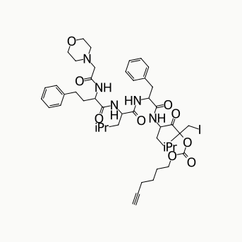 C#CCCCCOC(=O)OC(C)(CI)C(=O)C(CC(C)C)NC(=O)C(Cc1ccccc1)NC(=O)C(CC(C)C)NC(=O)C(CCc1ccccc1)NC(=O)CN1CCOCC1